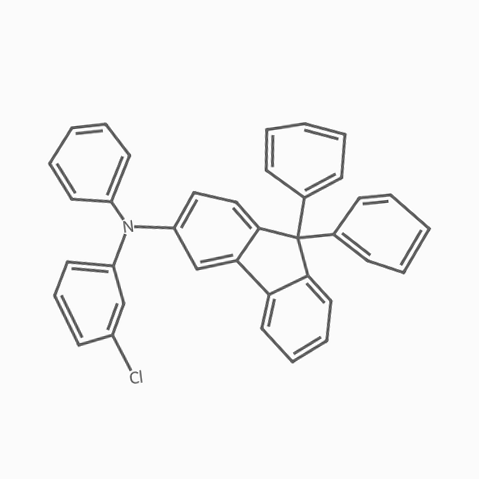 Clc1cccc(N(c2ccccc2)c2ccc3c(c2)-c2ccccc2C3(c2ccccc2)c2ccccc2)c1